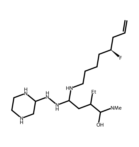 C=CC[C@@H](F)CCCCNC(CC(CC)C(O)NC)NNC1CNCCN1